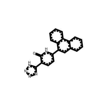 O=c1[nH]c(-c2cc3ccccc3c3ccccc23)ccc1-c1nnn[nH]1